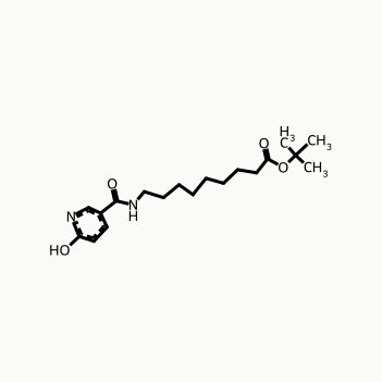 CC(C)(C)OC(=O)CCCCCCCCNC(=O)c1ccc(O)nc1